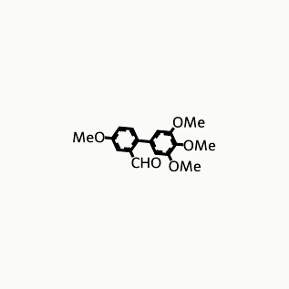 COc1ccc(-c2cc(OC)c(OC)c(OC)c2)c(C=O)c1